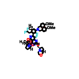 COc1ccc(CN(Cc2ccc(OC)cc2)c2cc(C)c(CC(F)F)c(-c3nc4c5c(nc(OC[C@@H]6CC[C@H]7COCCN76)nc5c3F)N3C[C@H]5CC[C@@H]([C@H]3[C@H](C)O4)N5C(=O)OC(C)(C)C)c2F)cc1